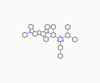 c1ccc(-c2ccc(-c3nc(-c4cc(-c5ccccc5)cc(-c5ccccc5)c4)nc(-c4cc(-c5ccccc5)c(-n5c6ccccc6c6c7sc8c(ccc9c8c8ccccc8n9-c8ccccc8)c7ccc65)c(-c5ccccc5)c4)n3)cc2)cc1